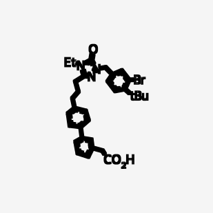 CCn1c(CCCc2ccc(-c3cccc(CC(=O)O)c3)cc2)nn(Cc2ccc(C(C)(C)C)c(Br)c2)c1=O